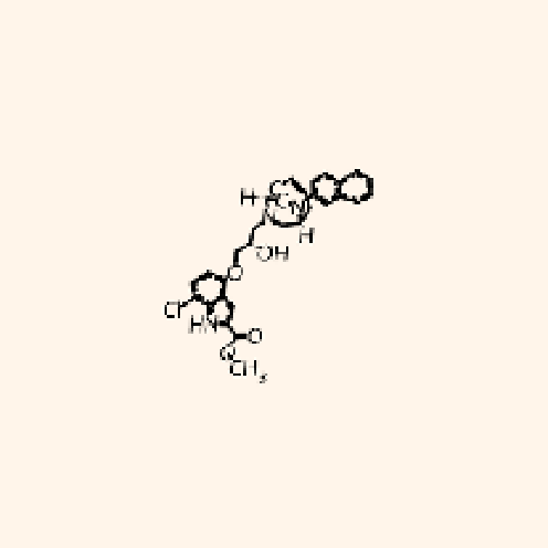 COC(=O)c1cc2c(OC[C@@H](O)CN3C[C@@H]4C/C=C\C[C@H]3CN4c3ccc4ccccc4c3)ccc(Cl)c2[nH]1